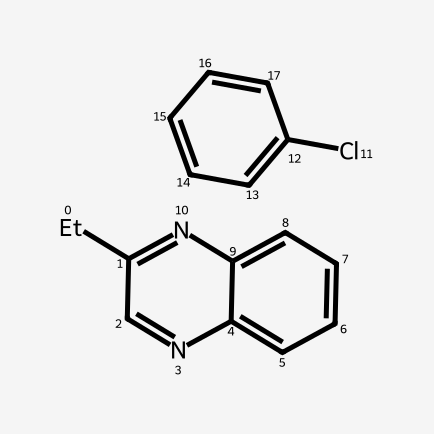 CCc1cnc2ccccc2n1.Clc1ccccc1